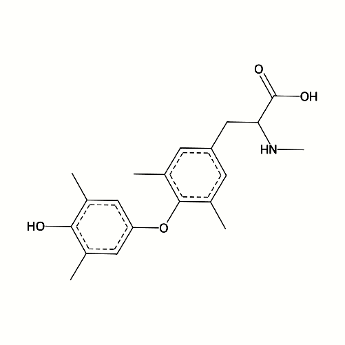 CNC(Cc1cc(C)c(Oc2cc(C)c(O)c(C)c2)c(C)c1)C(=O)O